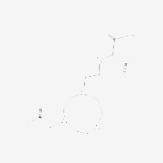 O=C(O)CN1CCNCCN(CCNC(C(=O)O)C(=O)O)CC1